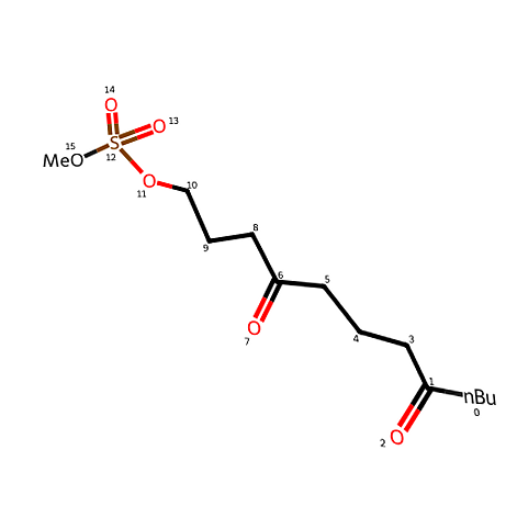 CCCCC(=O)CCCC(=O)CCCOS(=O)(=O)OC